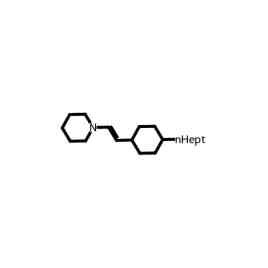 CCCCCCCC1CCC(C=CN2CCCCC2)CC1